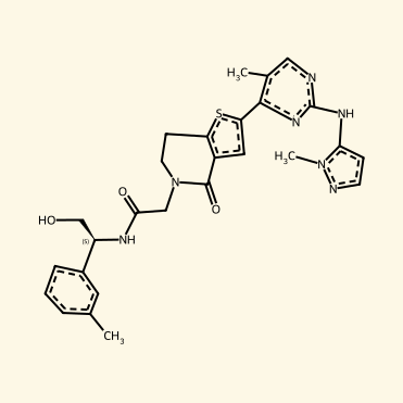 Cc1cccc([C@@H](CO)NC(=O)CN2CCc3sc(-c4nc(Nc5ccnn5C)ncc4C)cc3C2=O)c1